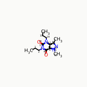 CCCn1c(=O)c2c(c(C)nn2C)n(CCC)c1=O